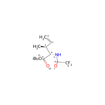 C=C[C@H](C)[C@H](NC(=O)C(F)(F)F)C(=O)OCC(C)C